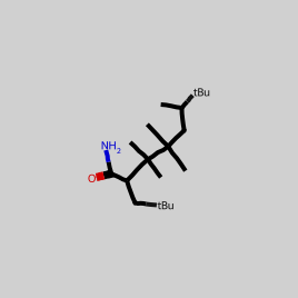 CC(CC(C)(C)C(C)(C)C(CC(C)(C)C)C(N)=O)C(C)(C)C